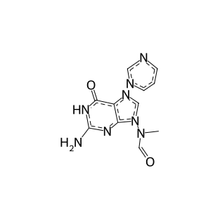 CN(C=O)n1cnc2c(=O)[nH]c(N)nc21.c1cncnc1